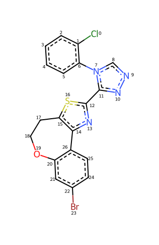 Clc1ccccc1-n1cnnc1-c1nc2c(s1)CCOc1cc(Br)ccc1-2